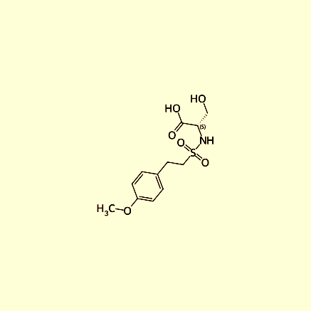 COc1ccc(CCS(=O)(=O)N[C@@H](CO)C(=O)O)cc1